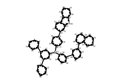 c1ccc(-c2cc(-c3ccccc3)cc(N(c3ccc(-c4ccc5c(c4)sc4ccccc45)cc3)c3cccc(-c4cccc(-c5cccc6ccccc56)c4)c3)c2)cc1